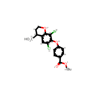 CC(C)(C)OC(=O)c1ccc(Oc2c(Cl)cc3c(c2Br)OCCC3C(=O)O)cc1